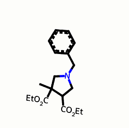 CCOC(=O)C1CN(Cc2ccccc2)CC1(C)C(=O)OCC